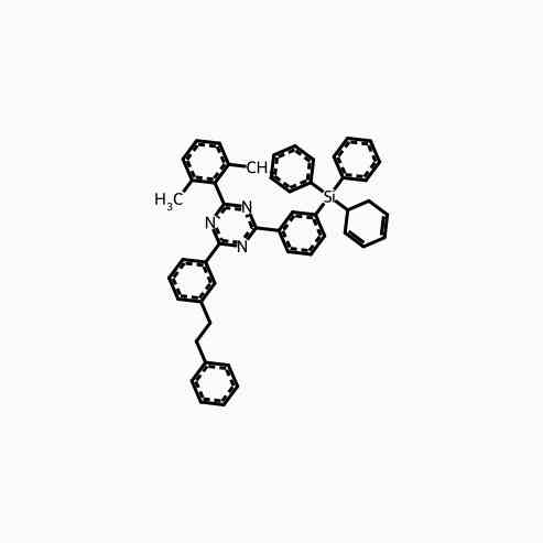 Cc1cccc(C)c1-c1nc(-c2cccc(CCc3ccccc3)c2)nc(-c2cccc([Si](c3ccccc3)(c3ccccc3)C3C=CC=CC3)c2)n1